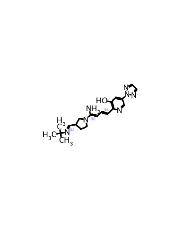 CC(C)(C)/N=C/C1CCN(/C(N)=C/C=C/c2ncc(-n3nccn3)cc2O)C1